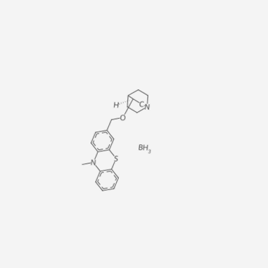 B.CN1c2ccccc2Sc2cc(CO[C@@H]3CN4CCC3CC4)ccc21